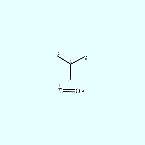 [CH2]C(C)C.[O]=[Ti]